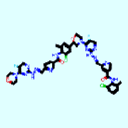 Cc1cccc(Cl)c1NC(=O)c1ccnc(/C=N/Nc2ncc(F)c(N3CCOC(c4cc(C)c(NC(=O)c5ccc(/C=N/Nc6ncc(F)c(N7CCOCC7)n6)nc5)c(Cl)c4)C3)n2)c1